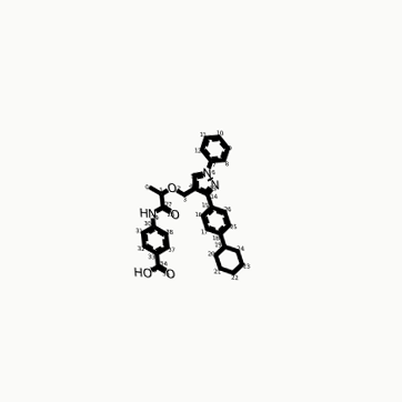 CC(OCc1cn(-c2ccccc2)nc1-c1ccc(C2CCCCC2)cc1)C(=O)Nc1ccc(C(=O)O)cc1